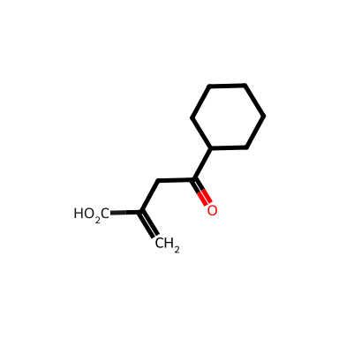 C=C(CC(=O)C1CCCCC1)C(=O)O